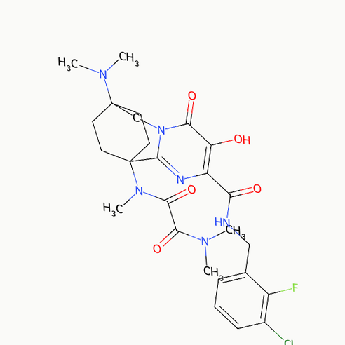 CN(C)C(=O)C(=O)N(C)C12CCC(N(C)C)(CC1)Cn1c2nc(C(=O)NCc2cccc(Cl)c2F)c(O)c1=O